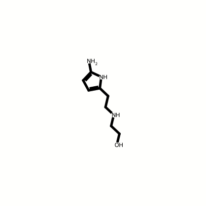 Nc1ccc(CCNCCO)[nH]1